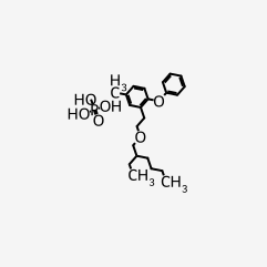 CCCCC(CC)COCCc1cc(C)ccc1Oc1ccccc1.O=P(O)(O)O